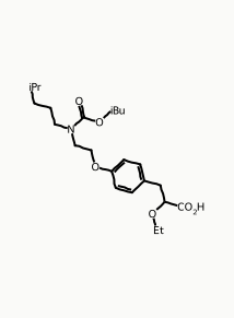 CCOC(Cc1ccc(OCCN(CCCC(C)C)C(=O)OC(C)CC)cc1)C(=O)O